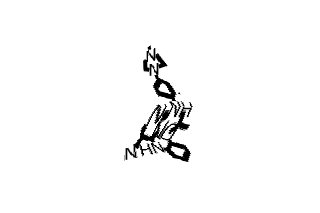 CC(C)Oc1ccccc1Nc1nc(Nc2[c]cc(N3CCN(C)CC3)cc2)ncc1C#N